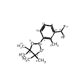 Cc1c(B2OC(C)(C)C(C)(C)O2)cccc1C(F)F